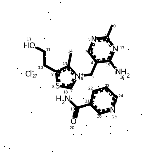 Cc1ncc(C[n+]2csc(CCO)c2C)c(N)n1.NC(=O)c1cccnc1.[Cl-]